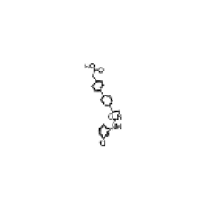 O=C(O)Cc1ccc(-c2ccc(-c3cnc(Nc4cccc(Cl)c4)o3)cc2)cc1